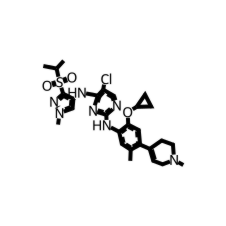 Cc1cc(Nc2ncc(Cl)c(Nc3cn(C)nc3S(=O)(=O)C(C)C)n2)c(OC2CC2)cc1C1=CCN(C)CC1